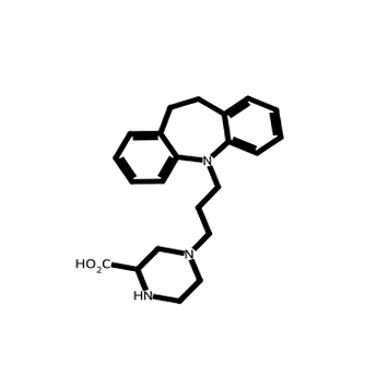 O=C(O)C1CN(CCCN2c3ccccc3CCc3ccccc32)CCN1